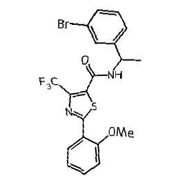 COc1ccccc1-c1nc(C(F)(F)F)c(C(=O)NC(C)c2cccc(Br)c2)s1